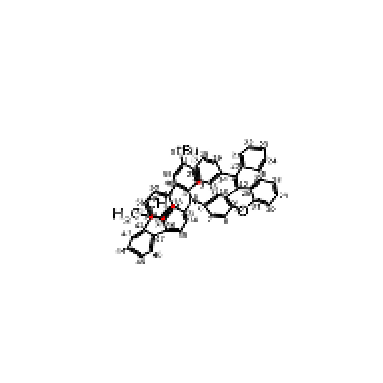 CC(C)(C)c1ccc(N(c2ccc3c(c2)C(=C(c2ccccc2)c2ccccc2)c2ccccc2O3)c2ccc3c(c2)C(C)(C)c2ccccc2-3)c(-c2ccccc2)c1